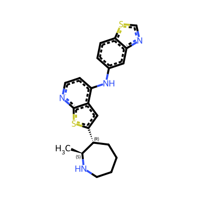 C[C@@H]1NCCCC[C@H]1c1cc2c(Nc3ccc4scnc4c3)ccnc2s1